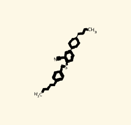 CCCCCc1ccc(CSc2ccc([C@H]3CC[C@H](CCCC)CC3)cc2C#N)cc1